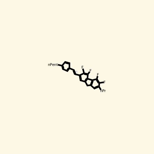 CCCCCc1ccc(/C=C/c2cc3c(c(F)c2F)-c2c(cc(CCC)c(F)c2F)C3)cc1